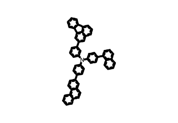 c1cc(-c2cc3c4c(cccc4c2)-c2ccccc2-3)cc(N(c2ccc(-c3ccc4c(ccc5ccccc54)c3)cc2)c2ccc(-c3cccc4ccccc34)cc2)c1